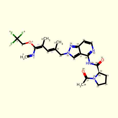 C=N/C(OCC(F)(F)F)=C(C)\C=C(/C)Cn1cc2c(NC(=O)[C@H]3CCCN3C(C)=O)nccc2n1